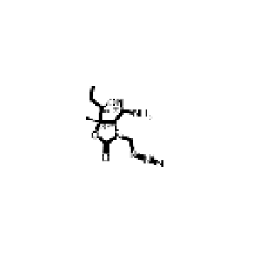 CC[C@@H](O)[C@@]1(C)OC(=O)N(CN=[N+]=[N-])[C@@H]1[C@@H](C)N